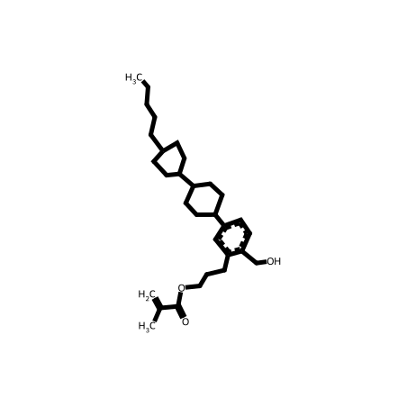 C=C(C)C(=O)OCCCc1cc(C2CCC(C3CCC(CCCCC)CC3)CC2)ccc1CO